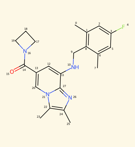 Cc1cc(F)cc(C)c1CNc1cc(C(=O)N2CCC2)cn2c(C)c(C)nc12